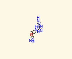 Cc1cc(Nc2ncnc3cnc(N4CCNCC4)nc23)ccc1Oc1ccn2ncnc2c1